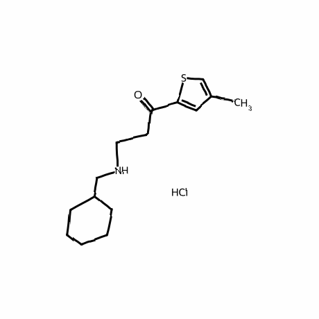 Cc1csc(C(=O)CCNCC2CCCCC2)c1.Cl